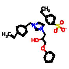 C=Cc1ccc(C[n+]2ccn(CC(O)COc3ccccc3)c2)cc1.C=Cc1ccc(S(=O)(=O)[O-])cc1